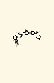 O=C(c1ccc(-c2cc(Cl)c(C[C@@H]3CCN(C4CCCc5nn(S(=O)(=O)C(F)(F)F)cc54)C3=O)c(Cl)c2)cc1)N1CCC(C(F)(F)F)CC1